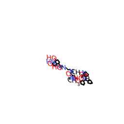 CCn1nc(COc2cccc(C(c3ccccc3)N(C(=O)O)[C@H]3CN4CCC3CC4)c2)cc1C(=O)N(C)CCCNC[C@@H](O)c1ccc(O)c2[nH]c(=O)ccc12